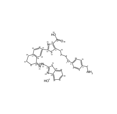 Cl.NCc1ccc(OCCCc2sc(-c3ccc4c(c3)/C(=N\Nc3nc5ccccc5s3)CCC4)nc2C(=O)O)cc1